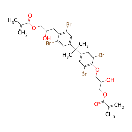 C=C(C)C(=O)OCC(O)COc1c(Br)cc(C(C)(C)c2cc(Br)c(CC(O)COC(=O)C(=C)C)c(Br)c2)cc1Br